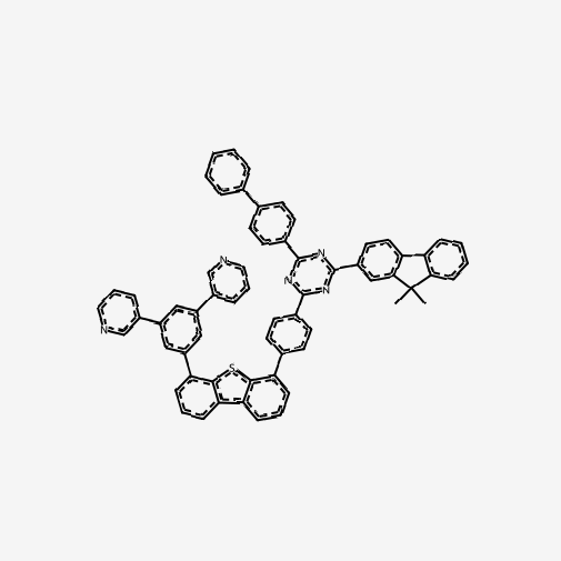 CC1(C)c2ccccc2-c2ccc(-c3nc(-c4ccc(-c5ccccc5)cc4)nc(-c4ccc(-c5cccc6c5sc5c(-c7cc(-c8cccnc8)cc(-c8cccnc8)c7)cccc56)cc4)n3)cc21